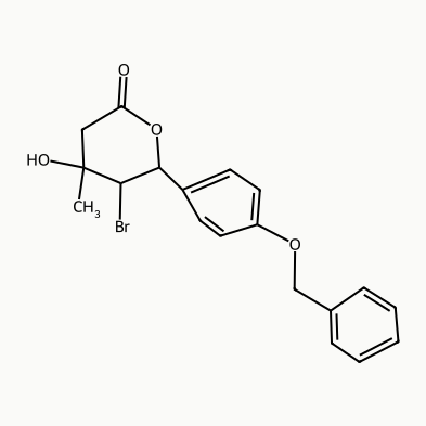 CC1(O)CC(=O)OC(c2ccc(OCc3ccccc3)cc2)C1Br